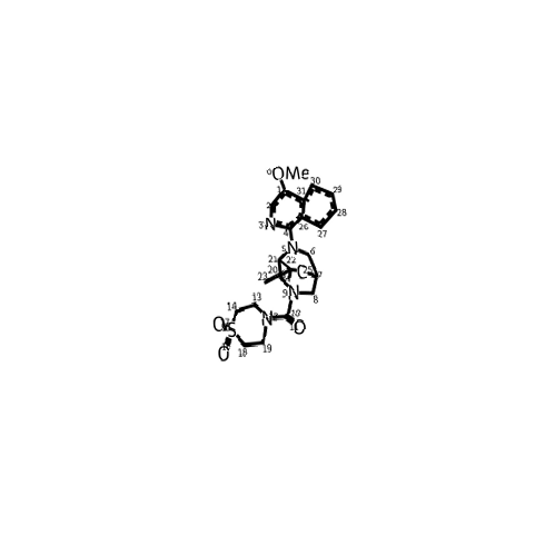 COc1cnc(N2CC3CN(C(=O)N4CCS(=O)(=O)CC4)CC2C(C)(C)C3)c2ccccc12